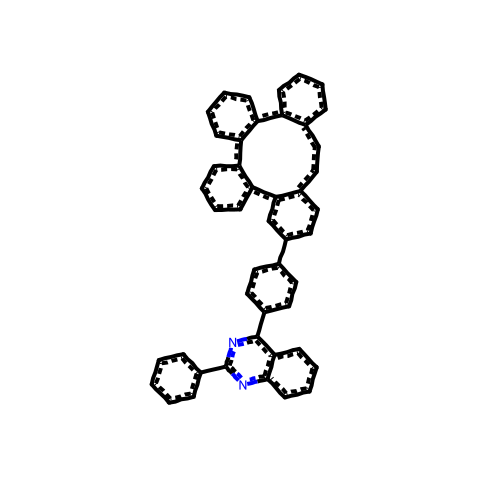 c1ccc(-c2nc(-c3ccc(-c4ccc5ccc6ccccc6c6ccccc6c6ccccc6c5c4)cc3)c3ccccc3n2)cc1